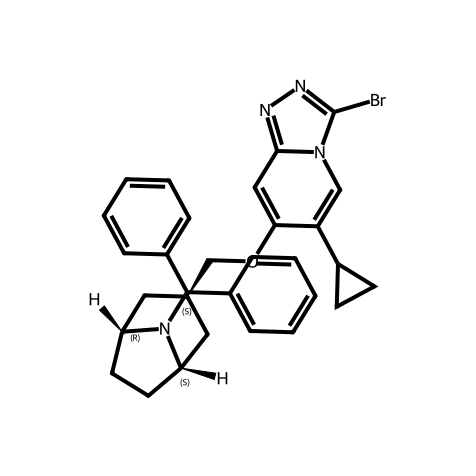 Brc1nnc2cc(OC[C@@H]3C[C@H]4CC[C@@H](C3)N4C(c3ccccc3)c3ccccc3)c(C3CC3)cn12